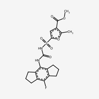 COC(=O)c1cc(S(=O)(=O)NC(=O)Nc2c3c(c(F)c4c2CCC4)CCC3)oc1C